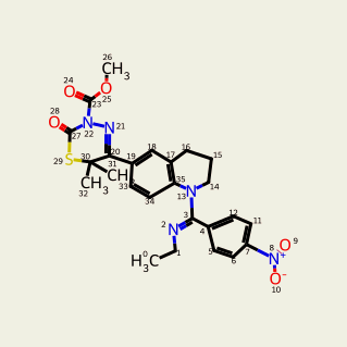 CCN=C(c1ccc([N+](=O)[O-])cc1)N1CCCc2cc(C3=NN(C(=O)OC)C(=O)SC3(C)C)ccc21